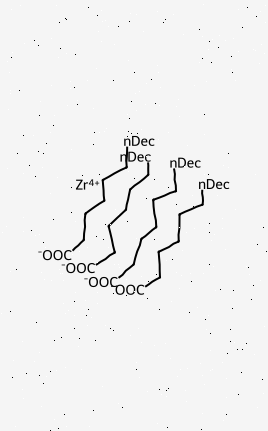 CCCCCCCCCCCCCCCC(=O)[O-].CCCCCCCCCCCCCCCC(=O)[O-].CCCCCCCCCCCCCCCC(=O)[O-].CCCCCCCCCCCCCCCC(=O)[O-].[Zr+4]